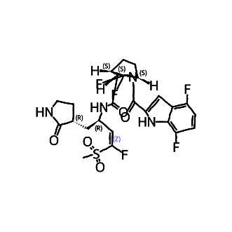 CS(=O)(=O)/C(F)=C\[C@@H](C[C@H]1CCNC1=O)NC(=O)[C@@H]1[C@@H]2CC[C@@H](CC2(F)F)N1C(=O)c1cc2c(F)ccc(F)c2[nH]1